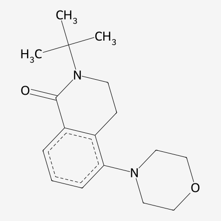 CC(C)(C)N1CCc2c(cccc2N2CCOCC2)C1=O